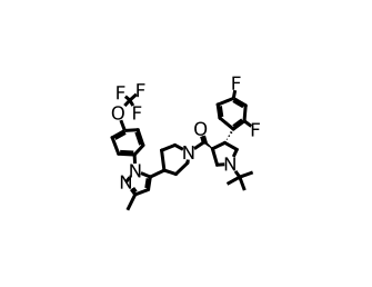 Cc1cc(C2CCN(C(=O)[C@@H]3CN(C(C)(C)C)C[C@H]3c3ccc(F)cc3F)CC2)n(-c2ccc(OC(F)(F)F)cc2)n1